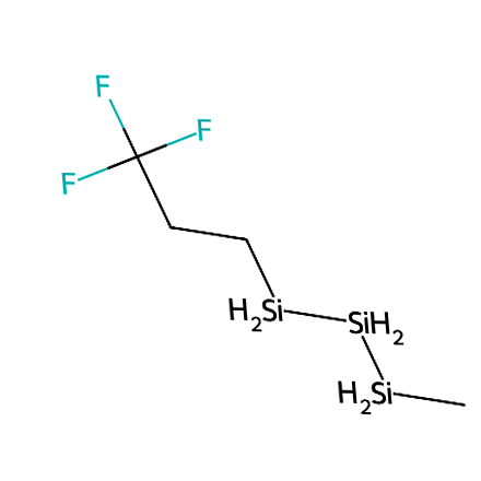 C[SiH2][SiH2][SiH2]CCC(F)(F)F